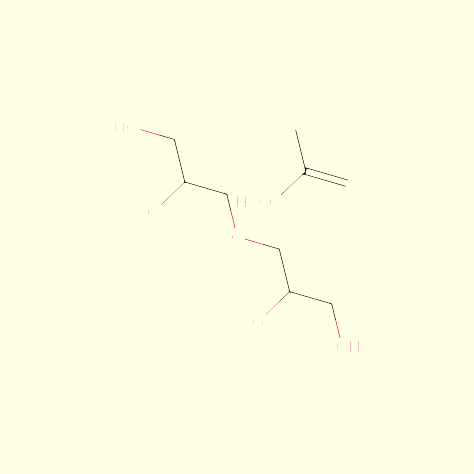 C=C(C)C(=O)O.OCC(O)COCC(O)CO